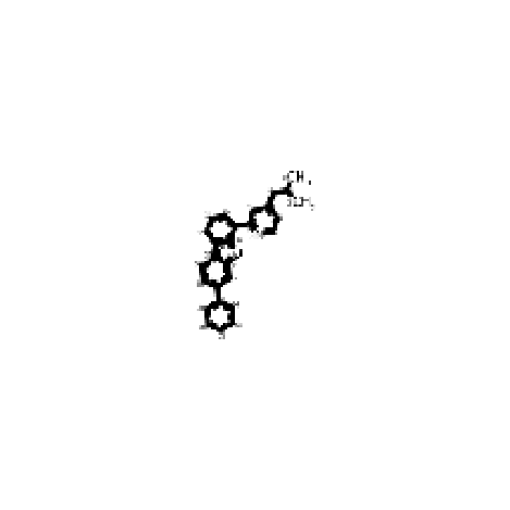 CC(C)Cc1ccnc(-c2cccc3c2oc2cc(-c4ccccc4)ccc23)c1